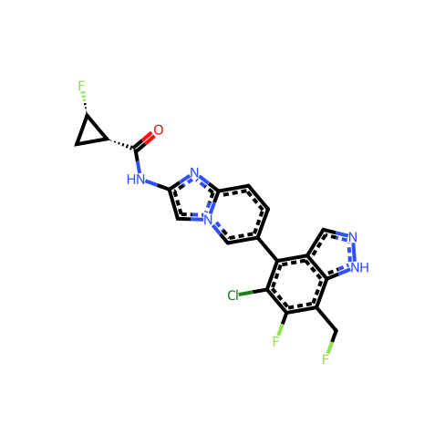 O=C(Nc1cn2cc(-c3c(Cl)c(F)c(CF)c4[nH]ncc34)ccc2n1)[C@@H]1C[C@@H]1F